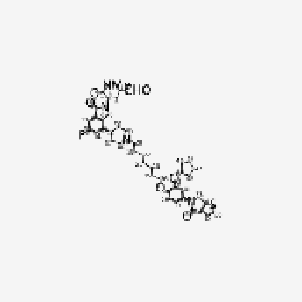 CNC(=O)C(CCC=O)N1Cc2c(cc(F)cc2C2CCN(CCCCCCCOc3ccc(N4Cc5sccc5C4=O)cc3OC3CCCC3)CC2)C1=O